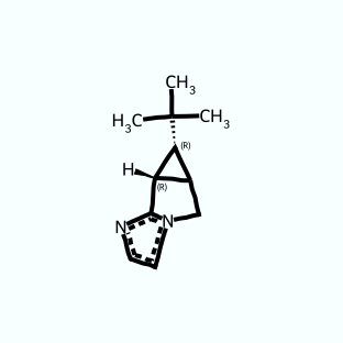 CC(C)(C)[C@@H]1C2Cn3ccnc3[C@@H]21